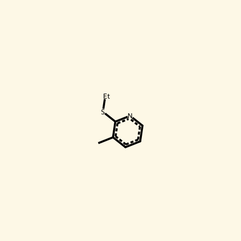 CCSc1ncccc1C